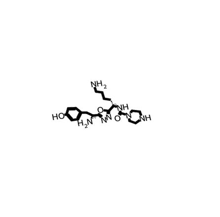 NCCCC[C@H](NC(=O)N1CCNCC1)c1nnc([C@@H](N)Cc2ccc(O)cc2)o1